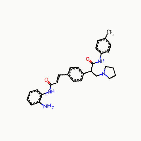 Nc1ccccc1NC(=O)/C=C/c1ccc(C(CN2CCCC2)C(=O)Nc2ccc(C(F)(F)F)cc2)cc1